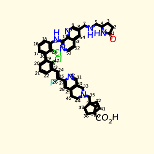 O=C1CCC(CNCc2cnc3c(Nc4cccc(-c5cccc(C=C(F)c6cc7c(cn6)CN(CC68CCC(C(=O)O)(CC6)C8)CC7)c5Cl)c4Cl)nccc3c2)N1